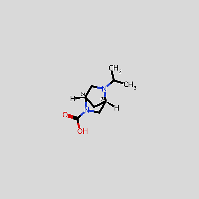 CC(C)N1C[C@@H]2C[C@H]1CN2C(=O)O